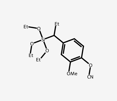 CCO[Si](OCC)(OCC)C(CC)c1ccc(OC#N)c(OC)c1